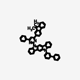 CC1(C)c2ccccc2-c2ccc(-c3cc(-c4ccccc4)nc(-n4c5ccccc5c5cc6c(cc54)c4ccccc4n6-c4cccc(-c5ccccc5)c4)n3)cc21